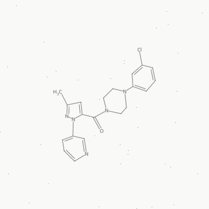 Cc1cc(C(=O)N2CCN(c3cccc(Cl)c3)CC2)n(-c2cccnc2)n1